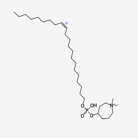 CCCCCCCC/C=C\CCCCCCCCCCCCOP(=O)(O)OC1CCC[N+](C)(C)CC1